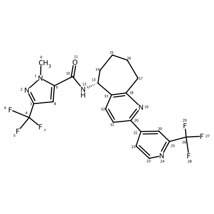 Cn1nc(C(F)(F)F)cc1C(=O)N[C@@H]1CCCCc2nc(-c3ccnc(C(F)(F)F)c3)ccc21